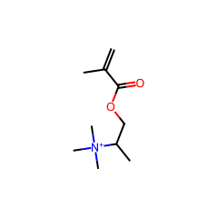 C=C(C)C(=O)OCC(C)[N+](C)(C)C